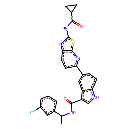 CC(NC(=O)c1c[nH]c2ccc(-c3ccc4nc(NC(=O)C5CC5)sc4n3)cc12)c1cccc(F)c1